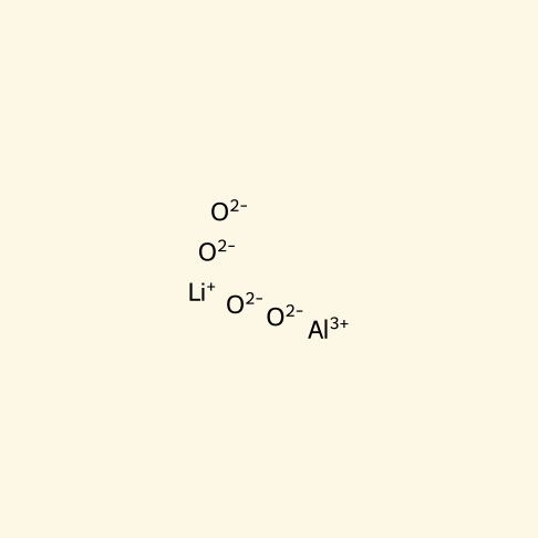 [Al+3].[Li+].[O-2].[O-2].[O-2].[O-2]